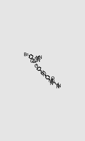 CC1(CCn2ncn(-c3ccc(N4CCN(c5ccc(OC[C@@H]6CO[C@@](Cn7cncn7)(c7ccc(Br)cc7)O6)cc5)CC4)cc3)c2=O)N=N1